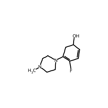 CN1CCN(C2=C(F)C=CC(O)C2)CC1